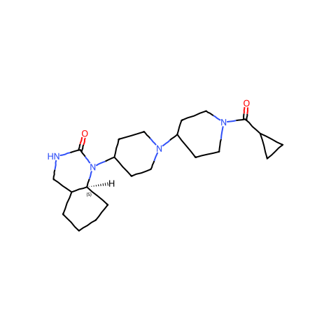 O=C(C1CC1)N1CCC(N2CCC(N3C(=O)NCC4CCCC[C@@H]43)CC2)CC1